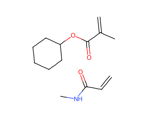 C=C(C)C(=O)OC1CCCCC1.C=CC(=O)NC